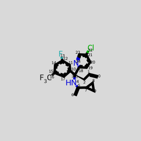 C=CC[C@@](NC(=C)C1CC1)(c1cc(F)cc(C(F)(F)F)c1)c1ccc(Cl)cn1